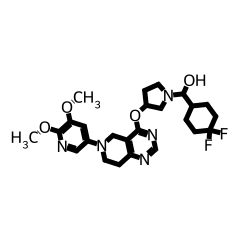 COc1cc(N2CCc3ncnc(OC4CCN(C(O)C5CCC(F)(F)CC5)C4)c3C2)cnc1OC